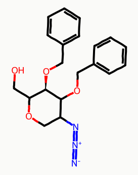 [N-]=[N+]=NC1COC(CO)[C@@H](OCc2ccccc2)C1OCc1ccccc1